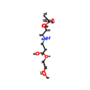 COCCOC(=O)CCNCCOC(C)=O